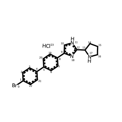 Brc1ccc(-c2ccc(-c3c[nH]c(C4CCCN4)n3)cc2)cc1.Cl